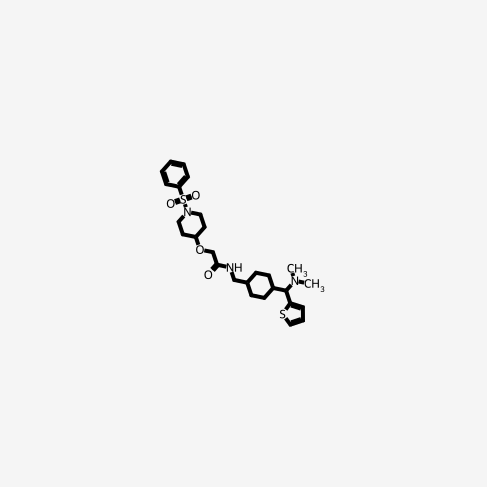 CN(C)C(c1cccs1)C1CCC(CNC(=O)COC2CCN(S(=O)(=O)c3ccccc3)CC2)CC1